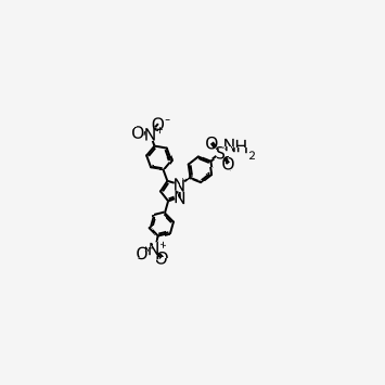 NS(=O)(=O)c1ccc(-n2nc(-c3ccc([N+](=O)[O-])cc3)cc2-c2ccc([N+](=O)[O-])cc2)cc1